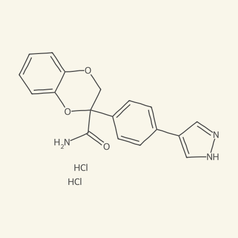 Cl.Cl.NC(=O)C1(c2ccc(-c3cn[nH]c3)cc2)COc2ccccc2O1